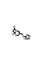 O=C1C[C@H]2OCC(CSc3nnn[nH]3)=CN12